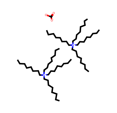 CCCCCCCC[N+](CCCCCCCC)(CCCCCCCC)CCCCCCCC.CCCCCCCC[N+](CCCCCCCC)(CCCCCCCC)CCCCCCCC.O=C([O-])[O-]